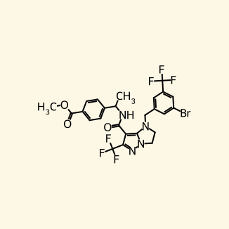 COC(=O)c1ccc(C(C)NC(=O)c2c(C(F)(F)F)nn3c2N(Cc2cc(Br)cc(C(F)(F)F)c2)CC3)cc1